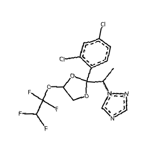 CC(n1cncn1)C1(c2ccc(Cl)cc2Cl)OCC(OC(F)(F)C(F)F)O1